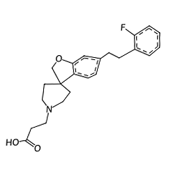 O=C(O)CCN1CCC2(CC1)COc1cc(CCc3ccccc3F)ccc12